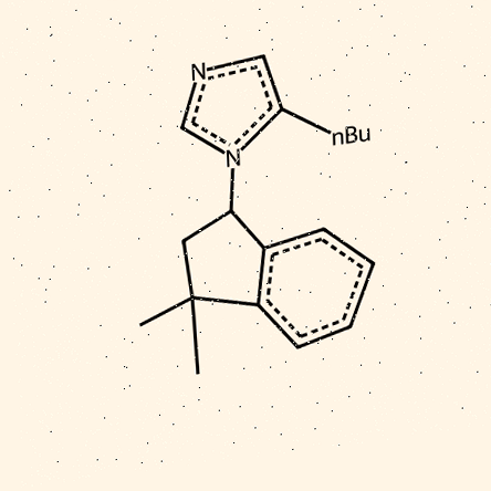 CCCCc1cncn1C1CC(C)(C)c2ccccc21